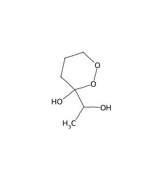 CC(O)C1(O)CCCOO1